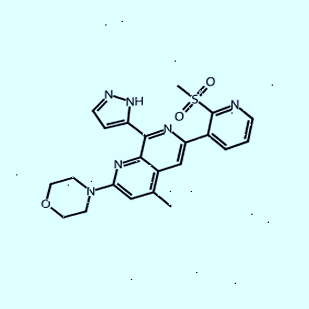 Cc1cc(N2CCOCC2)nc2c(-c3ccn[nH]3)nc(-c3cccnc3S(C)(=O)=O)cc12